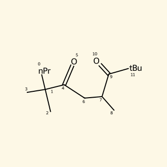 CCCC(C)(C)C(=O)CC(C)C(=O)C(C)(C)C